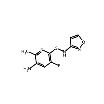 Cc1nc(SNc2ccon2)c(F)cc1N